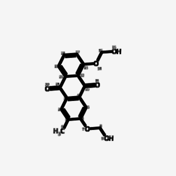 Cc1cc2c(cc1OCO)C(=O)c1c(OCO)cccc1C2=O